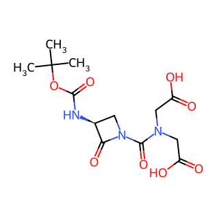 CC(C)(C)OC(=O)N[C@H]1CN(C(=O)N(CC(=O)O)CC(=O)O)C1=O